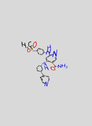 CS(=O)(=O)Cc1ccc(Nc2cc(NCc3cccc(-c4ccncc4)c3)c(C(N)=O)cn2)cc1